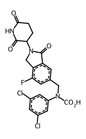 O=C1CCC(N2Cc3c(F)cc(CN(C(=O)O)c4cc(Cl)cc(Cl)c4)cc3C2=O)C(=O)N1